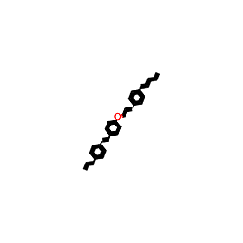 CCCCC[C@H]1CC[C@H](CCCO[C@H]2CC[C@H](CC[C@H]3CC[C@H](CCC)CC3)CC2)CC1